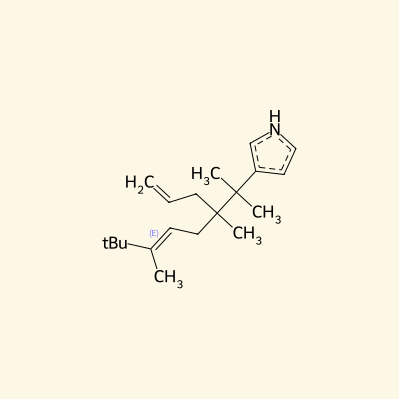 C=CCC(C)(C/C=C(\C)C(C)(C)C)C(C)(C)c1cc[nH]c1